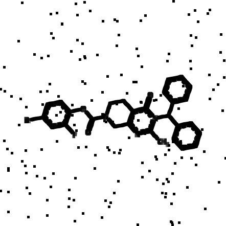 Cc1nc2c(c(=O)n1C(c1ccccc1)c1ccccc1)CCN(C(=O)Oc1ccc(Br)cc1F)C2